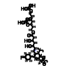 CC(C)c1nc(N(C)S(C)(=O)=O)nc(-c2ccc(F)cc2)c1/C=C/C(O)CC(O)CC(=O)OCCC(COCCON(O)O)ON(O)O